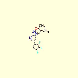 CC(=O)[C@@H](C)Cn1ncc2ncc(-c3ccc(F)c(F)c3F)cc21